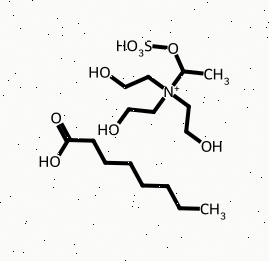 CC(OS(=O)(=O)O)[N+](CCO)(CCO)CCO.CCCCCCCC(=O)O